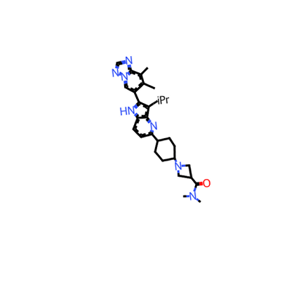 Cc1c(-c2[nH]c3ccc(C4CCC(N5CC(C(=O)N(C)C)C5)CC4)nc3c2C(C)C)cn2ncnc2c1C